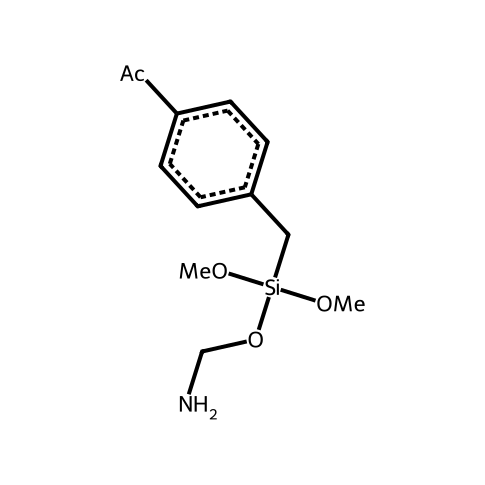 CO[Si](Cc1ccc(C(C)=O)cc1)(OC)OCN